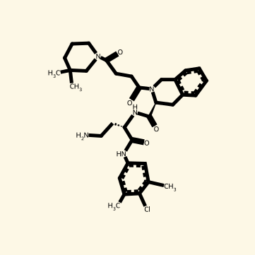 Cc1cc(NC(=O)[C@H](CCN)NC(=O)[C@@H]2Cc3ccccc3CN2C(=O)CCC(=O)N2CCCC(C)(C)C2)cc(C)c1Cl